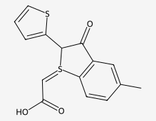 Cc1ccc2c(c1)C(=O)C(c1cccs1)S2=CC(=O)O